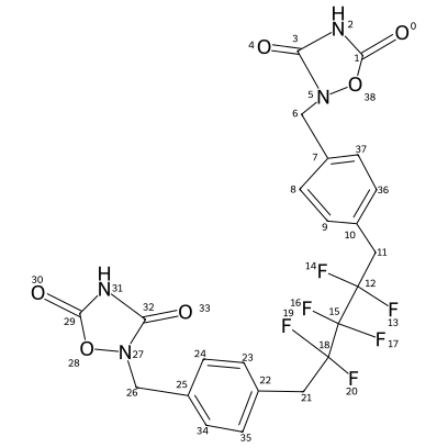 O=c1[nH]c(=O)n(Cc2ccc(CC(F)(F)C(F)(F)C(F)(F)Cc3ccc(Cn4oc(=O)[nH]c4=O)cc3)cc2)o1